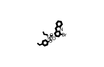 CCCSP(=O)(Oc1ccc(CC)cc1)Oc1cc(Br)c2nc3ccccc3cc2c1